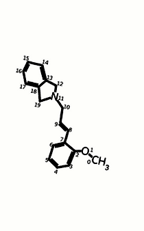 COc1ccccc1C=CCN1Cc2ccccc2C1